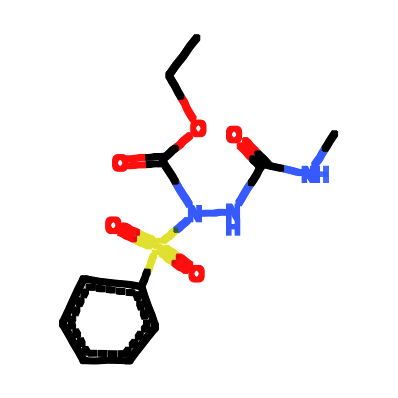 CCOC(=O)N(NC(=O)NC)S(=O)(=O)c1ccccc1